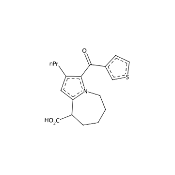 CCCc1cc2n(c1C(=O)c1ccsc1)CCCCC2C(=O)O